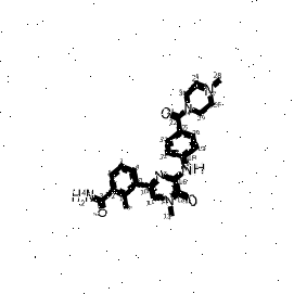 Cc1c(C(N)=O)cccc1-c1cn(C)c(=O)c(Nc2ccc(C(=O)N3CCN(C)CC3)cc2)n1